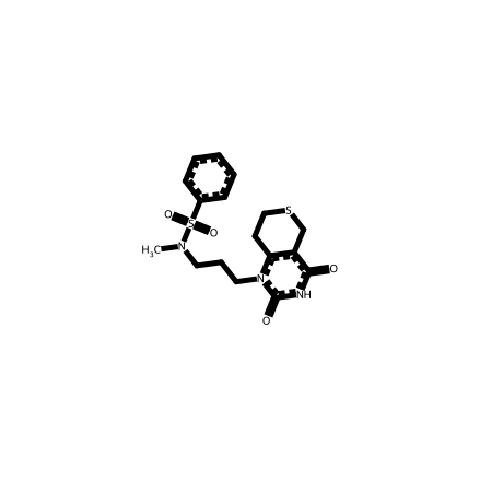 CN(CCCn1c2c(c(=O)[nH]c1=O)CSCC2)S(=O)(=O)c1ccccc1